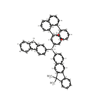 CC1(C)c2ccccc2-c2cc3ccc(N(c4cccc(-c5cccc6cccc(-c7ccccc7)c56)c4)c4ccc5c(c4)sc4ccccc45)cc3cc21